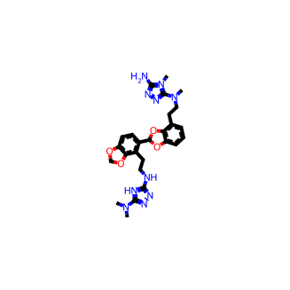 CN(C)c1nnc(NCCc2c(C3Oc4cccc(CCN(C)c5nnc(N)n5C)c4O3)ccc3c2OCO3)[nH]1